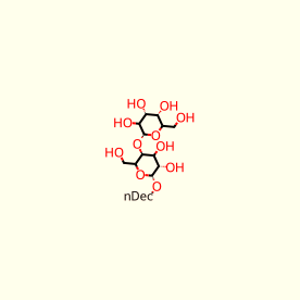 CCCCCCCCCCO[C@@H]1OC(CO)[C@@H](O[C@H]2OC(CO)[C@@H](O)[C@@H](O)C2O)C(O)[C@@H]1O